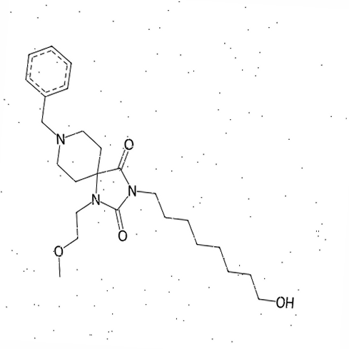 COCCN1C(=O)N(CCCCCCCCO)C(=O)C12CCN(Cc1ccccc1)CC2